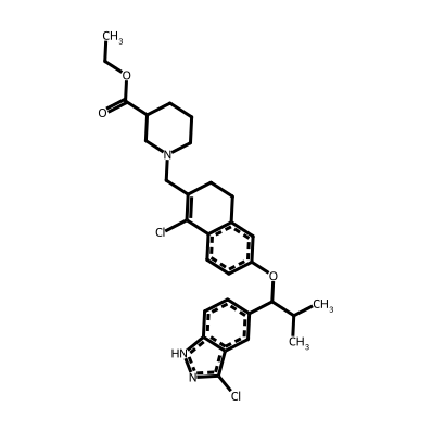 CCOC(=O)C1CCCN(CC2=C(Cl)c3ccc(OC(c4ccc5[nH]nc(Cl)c5c4)C(C)C)cc3CC2)C1